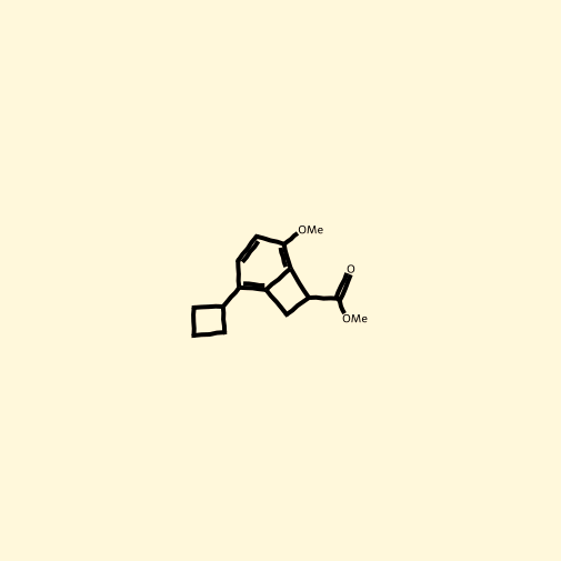 COC(=O)C1Cc2c(C3CCC3)ccc(OC)c21